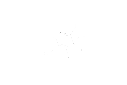 CC(=O)C1C=C([N+](=O)[O-])C(C)(C(C)(C)C)C([N+](=O)[O-])=C1C